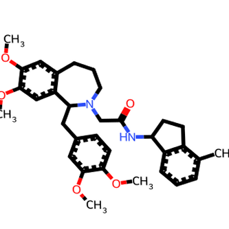 COc1ccc(CC2c3cc(OC)c(OC)cc3CCCN2CC(=O)NC2CCc3c(C)cccc32)cc1OC